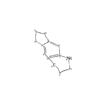 c1c2c(cc3c1CCCN3)CCC2